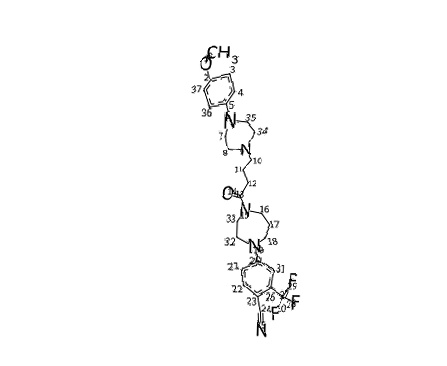 COc1ccc(N2CCN(CCCC(=O)N3CCCN(c4ccc(C#N)c(C(F)(F)F)c4)CC3)CC2)cc1